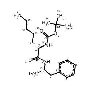 C[C@@H](Cc1ccccc1)NC(=O)[C@H](CCCCN)NC(=O)OC(C)(C)C